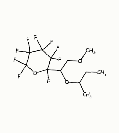 CCC(C)OC(COC)C1(F)OC(F)(F)C(F)(F)C(F)(F)C1(F)F